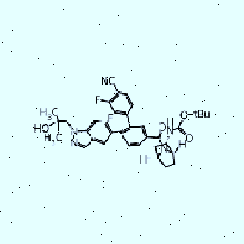 CC(C)(O)Cn1ncc2cc(-c3ccc(C(=O)N4[C@@H]5CC[C@H]4[C@@H](NC(=O)OC(C)(C)C)C5)cc3-c3ccc(C#N)c(F)c3)c(F)cc21